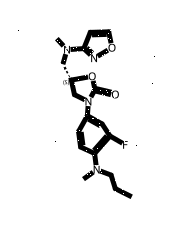 CCCN(C)c1ccc(N2C[C@H](CN(C)c3ccon3)OC2=O)cc1F